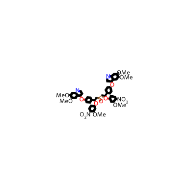 COc1cc2nccc(Oc3ccc(C(C[S+]([O-])CC(Oc4ccc([N+](=O)[O-])c(OC)c4)c4ccc(Oc5ccnc6cc(OC)c(OC)cc56)cc4)Oc4ccc([N+](=O)[O-])c(OC)c4)cc3)c2cc1OC